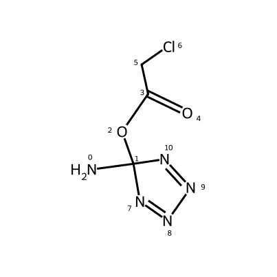 NC1(OC(=O)CCl)N=NN=N1